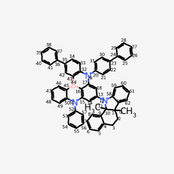 CC12CCc3ccccc3C1(C)N(c1cc3c4c(c1)N(c1ccc(-c5ccccc5)cc1)c1ccc(-c5ccccc5)cc1B4c1ccccc1N3c1ccccc1)c1ccccc12